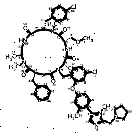 COC[C@@H]1NC(=O)[C@H](C)N(Cc2ccc(Cl)cc2Oc2ccc(-c3cnc(CN4CCCC4)n3C)c(C)c2)C(=O)C[C@@H](Cc2ccccc2)C(=O)N(C)[C@@H](C)CNC(=O)C[C@H](Cc2ccc(Cl)cc2)N(C)C1=O